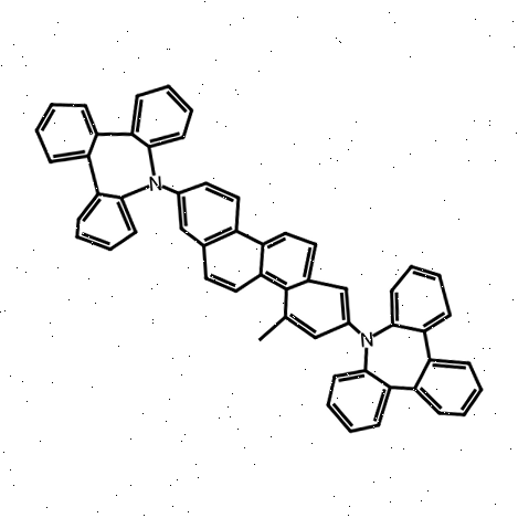 Cc1cc(N2c3ccccc3-c3ccccc3-c3ccccc32)cc2ccc3c4ccc(N5c6ccccc6-c6ccccc6-c6ccccc65)cc4ccc3c12